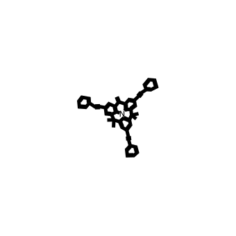 C=C1c2cc(C#Cc3ccccc3)cc3c2N2c4c1cc(C#Cc1ccccc1)cc4C(C)(C)c1cc(C#Cc4ccccc4)cc(c12)C3(C)C